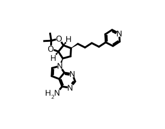 CC1(C)O[C@@H]2[C@@H](CCCCc3ccncc3)C[C@@H](n3ccc4c(N)ncnc43)[C@@H]2O1